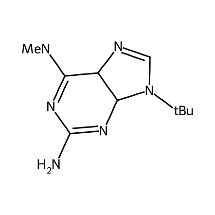 CNC1=NC(N)=NC2C1N=CN2C(C)(C)C